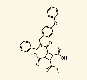 COC(=O)C1C(C(=O)O)C(C(=O)N(Cc2ccccc2)Cc2ccc(Oc3ccccc3)cc2)C1C(=O)O